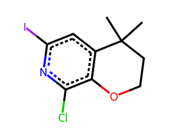 CC1(C)CCOc2c1cc(I)nc2Cl